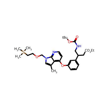 CCOC(=O)CC(CNC(=O)OC(C)(C)C)c1cccc(Oc2ccnc3c2c(C)cn3COCCS(C)(C)C)c1